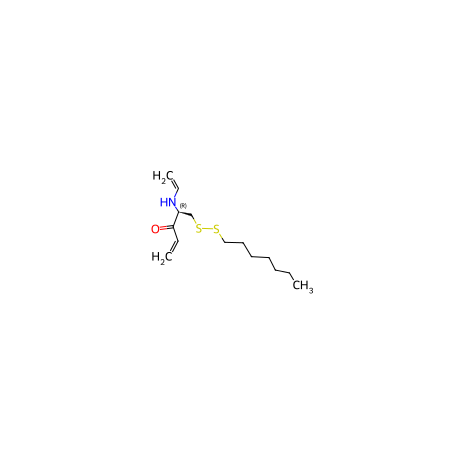 C=CN[C@@H](CSSCCCCCCC)C(=O)C=C